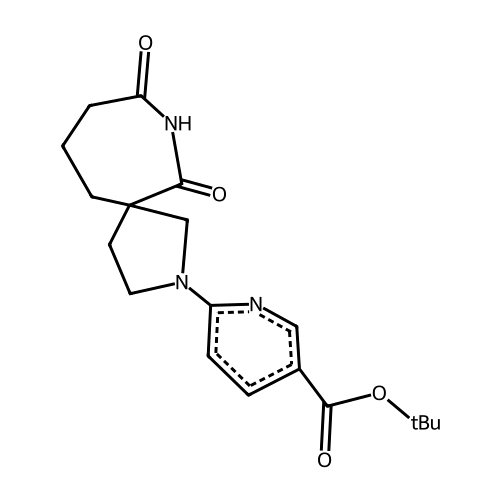 CC(C)(C)OC(=O)c1ccc(N2CCC3(CCCC(=O)NC3=O)C2)nc1